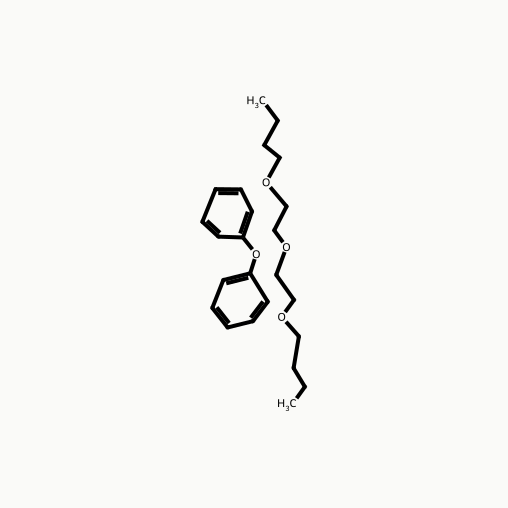 CCCCOCCOCCOCCCC.c1ccc(Oc2ccccc2)cc1